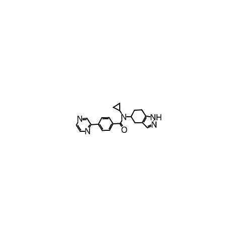 O=C(c1ccc(-c2cnccn2)cc1)N(C1CC1)C1CCc2[nH]ncc2C1